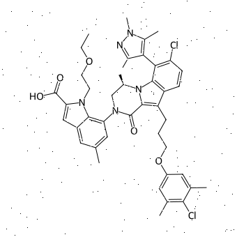 CCOCCn1c(C(=O)O)cc2cc(C)cc(N3C[C@@H](C)n4c(c(CCCOc5cc(C)c(Cl)c(C)c5)c5ccc(Cl)c(-c6c(C)nn(C)c6C)c54)C3=O)c21